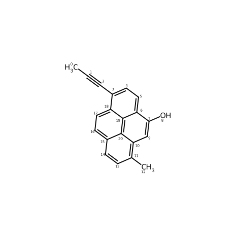 CC#Cc1ccc2c(O)cc3c(C)ccc4ccc1c2c43